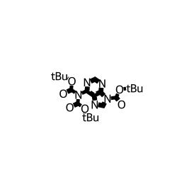 CC(C)(C)OC(=O)N(C(=O)OC(C)(C)C)c1ncnc2c1ncn2C(=O)OC(C)(C)C